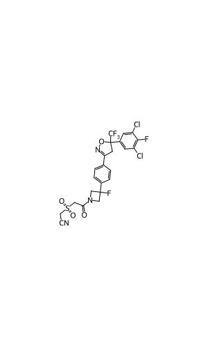 N#CCS(=O)(=O)CC(=O)N1CC(F)(c2ccc(C3=NOC(c4cc(Cl)c(F)c(Cl)c4)(C(F)(F)F)C3)cc2)C1